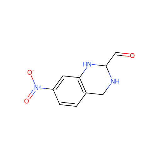 O=CC1NCc2ccc([N+](=O)[O-])cc2N1